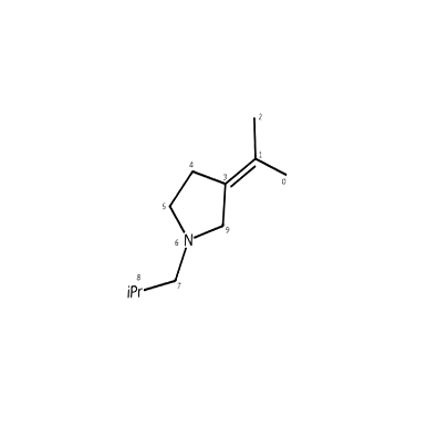 CC(C)=C1CCN(CC(C)C)C1